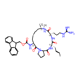 CC=CC[C@@H]1NC(=O)C2CCCN2C(=O)[C@@H](NC(=O)OCC2c3ccccc3-c3ccccc32)CCCC[C@@H](C(=O)O)NC(=O)[C@H](CCCNC(=N)N)NC1=O